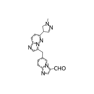 CN1CC(c2ccc3ncc(Cc4ccc5ncc(C=O)n5c4)n3n2)C=N1